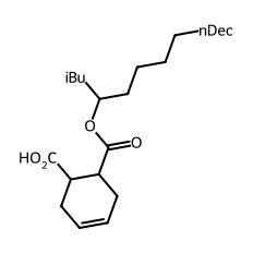 CCCCCCCCCCCCCCC(OC(=O)C1CC=CCC1C(=O)O)C(C)CC